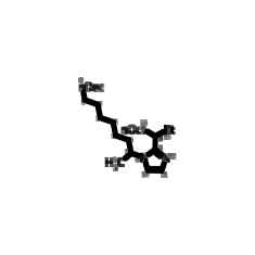 CCCCCCCCCCCCCCCCC(C)n1ccnc1C(CC)CCCCCCCC